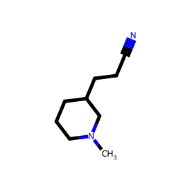 CN1CCCC(CCC#N)C1